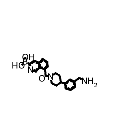 NCc1cccc(C2CCN(C(=O)c3cccc4cc(B(O)O)ncc34)CC2)c1